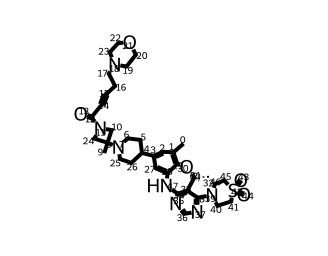 Cc1cc(C2CCN(C3(C)CN(C(=O)C#CCCN4CCOCC4)C3)CC2)cc2c1O[C@H](C)c1c(ncnc1N1CCS(=O)(=O)CC1)N2